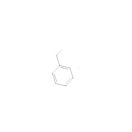 I.OCc1ccccc1